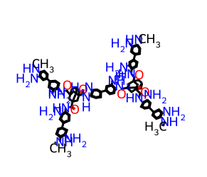 CCNc1ccc(-c2ccc(NC(=O)C34CC5CC(C(=O)Nc6ccc(-c7ccc(NC)c(N)c7)cc6N)(C3)CC(C(=O)Nc3ccc(-c6ccc(NC(=O)C78CC9CC(C(=O)Nc%10ccc(-c%11ccc(NC)c(N)c%11)cc%10N)(CC(C(=O)Nc%10ccc(-c%11ccc(NC)c(N)c%11)cc%10N)(C9)C7)C8)c(N)c6)cc3N)(C5)C4)c(N)c2)cc1N